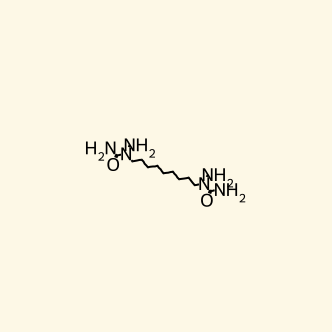 NC(=O)N(N)CCCCCCCCCN(N)C(N)=O